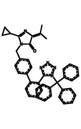 CC(C)=C1N=C(C2CC2)N(Cc2ccc(-c3ccccc3-c3nnnn3C(c3ccccc3)(c3ccccc3)c3ccccc3)cc2)C1=O